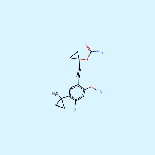 COc1cc(Cl)c(C2(C)CC2)cc1C#CC1(OC(N)=O)CC1